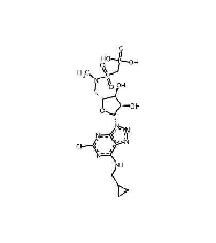 CN(C[C@H]1O[C@@H](n2nnc3c(NCC4CC4)nc(Cl)nc32)[C@H](O)[C@@H]1O)S(=O)(=O)CP(=O)(O)O